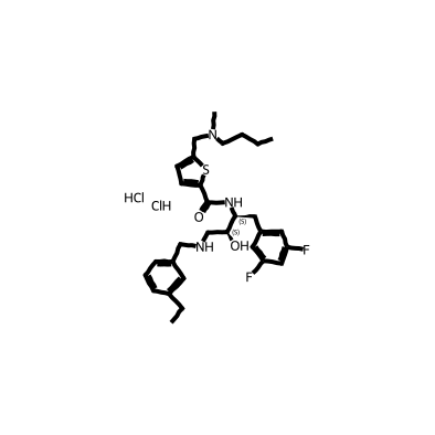 CCCCN(C)Cc1ccc(C(=O)N[C@@H](Cc2cc(F)cc(F)c2)[C@@H](O)CNCc2cccc(CC)c2)s1.Cl.Cl